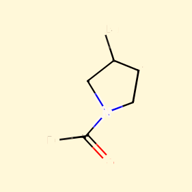 CCC(=O)N1CCC(C(C)(C)C)C1